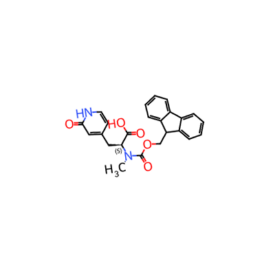 CN(C(=O)OCC1c2ccccc2-c2ccccc21)[C@@H](Cc1cc[nH]c(=O)c1)C(=O)O